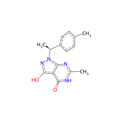 Cc1ccc([C@H](C)n2nc(O)c3c(=O)[nH]c(C)nc32)cc1